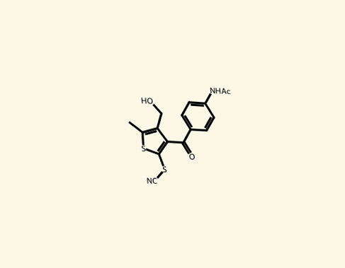 CC(=O)Nc1ccc(C(=O)c2c(SC#N)sc(C)c2CO)cc1